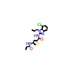 C=CCn1c(NC(=O)c2cc(NC(=O)C=C)cs2)nc2cccc(Cl)c21